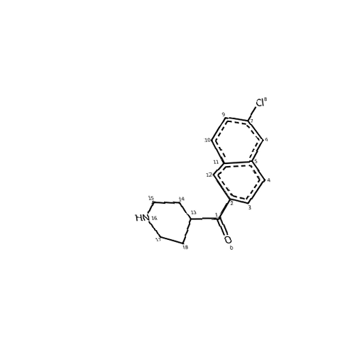 O=C(c1ccc2cc(Cl)ccc2c1)C1CCNCC1